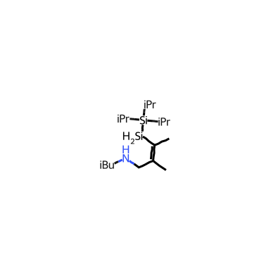 CCC(C)NCC(C)=C(C)[SiH2][Si](C(C)C)(C(C)C)C(C)C